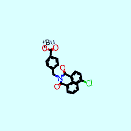 CC(C)(C)OC(=O)c1ccc(CN2C(=O)c3cccc4c(Cl)ccc(c34)C2=O)cc1